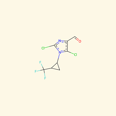 O=Cc1nc(Cl)n(C2CC2C(F)(F)F)c1Cl